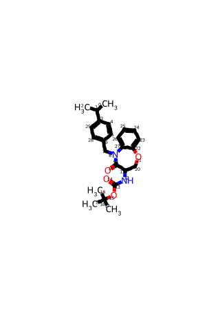 CC(C)c1ccc(CN2C(=O)C(NC(=O)OC(C)(C)C)COc3ccccc32)cc1